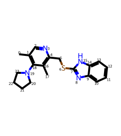 Cc1cnc(CSc2nc3ccccc3[nH]2)c(C)c1N1CCCC1